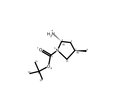 C[C@@H]1C[C@@H](N)N(C(=O)OC(C)(C)C)C1